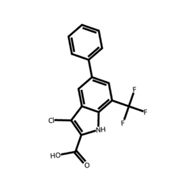 O=C(O)c1[nH]c2c(C(F)(F)F)cc(-c3ccccc3)cc2c1Cl